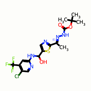 C/C(=N\NC(=O)OC(C)(C)C)c1ncc(C(O)Nc2cc(C(F)(F)F)c(Cl)cn2)s1